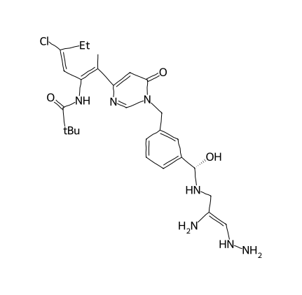 CC/C(Cl)=C\C(NC(=O)C(C)(C)C)=C(/C)c1cc(=O)n(Cc2cccc([C@H](O)NC/C(N)=C/NN)c2)cn1